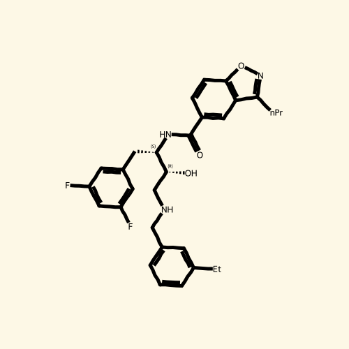 CCCc1noc2ccc(C(=O)N[C@@H](Cc3cc(F)cc(F)c3)[C@H](O)CNCc3cccc(CC)c3)cc12